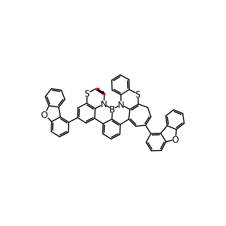 C1=C2C3=C(CC=C1c1cccc4oc5ccccc5c14)Sc1ccccc1N3B1c3c2cccc3-c2cc(-c3cccc4oc5ccccc5c34)cc3c2N1c1ccccc1S3